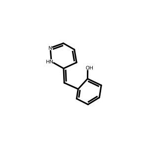 Oc1ccccc1C=C1C=CC=NN1